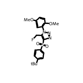 COc1ccc(OC)c(-n2nnc(S(=O)(=O)c3ccc(C(C)(C)C)cc3)c2CF)c1